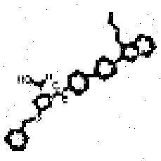 CCCCc1c(-c2ccc(-c3ccc(S(=O)(=O)N4CC(OCc5ccccc5)C[C@H]4C(=O)O)cc3)cc2)cn2ccccc12